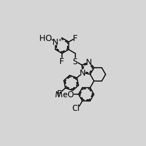 COc1cc(C2CCCc3nc(SCc4c(F)c[n+](O)cc4F)n(-c4ccc(F)cc4)c32)ccc1Cl